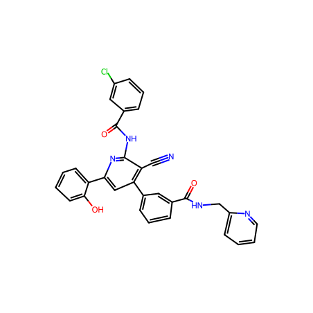 N#Cc1c(-c2cccc(C(=O)NCc3ccccn3)c2)cc(-c2ccccc2O)nc1NC(=O)c1cccc(Cl)c1